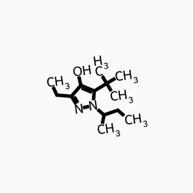 CCc1nn(C(C)CC)c(C(C)(C)C)c1O